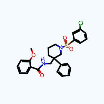 COc1ccccc1C(=O)NCC1(c2ccccc2)CCCN(S(=O)(=O)c2cccc(Cl)c2)C1